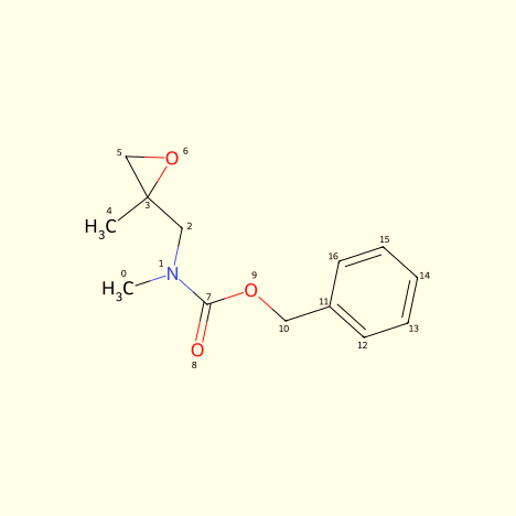 CN(CC1(C)CO1)C(=O)OCc1ccccc1